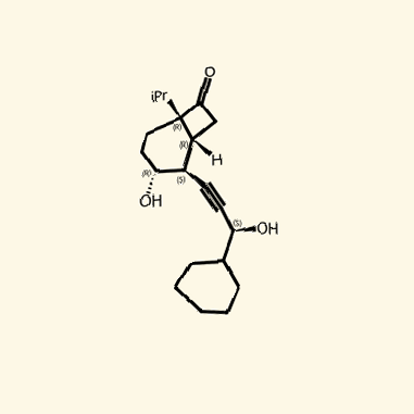 CC(C)[C@]12CC[C@@H](O)[C@H](C#C[C@@H](O)C3CCCCC3)[C@H]1CC2=O